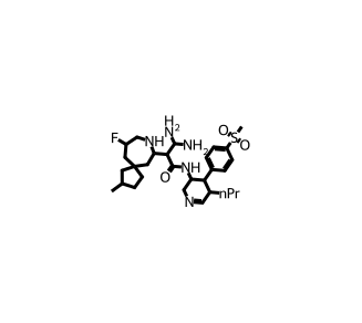 CCCC1C=NCC(NC(=O)C(C(N)N)C2CC3(CCC(C)C3)CC(F)CN2)C1c1ccc(S(C)(=O)=O)cc1